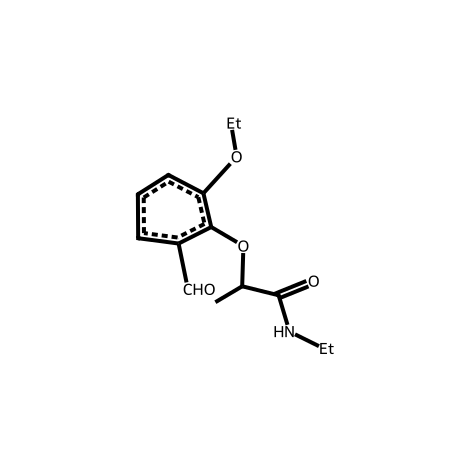 CCNC(=O)C(C)Oc1c(C=O)cccc1OCC